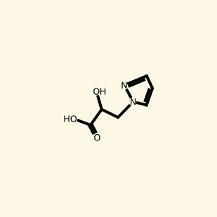 O=C(O)C(O)Cn1cccn1